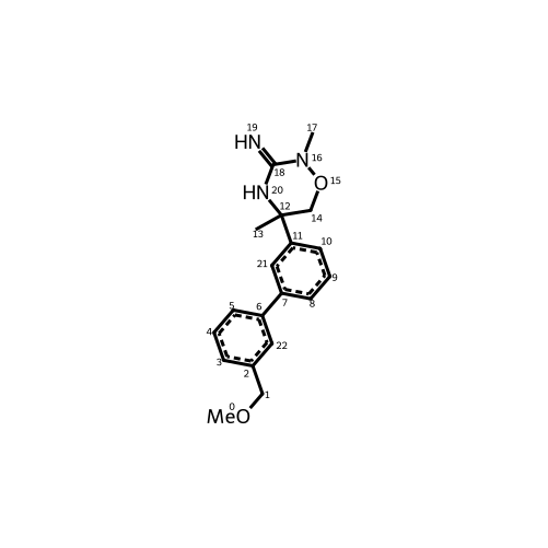 COCc1cccc(-c2cccc(C3(C)CON(C)C(=N)N3)c2)c1